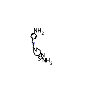 Nc1ccc(/C=C/CN2CCc3nc(N)sc3CC2)cc1